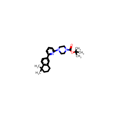 CC(C)(C)OC(=O)N1CCN(c2cccc(-c3ccc4c(c3)CCCC4(C)C)n2)CC1